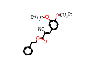 CCOC(=O)Oc1ccc(/C=C(\C#N)C(=O)OCCc2ccccc2)cc1OC(=O)OCC